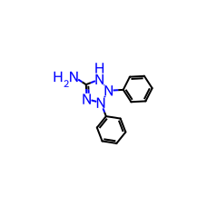 NC1=NN(c2ccccc2)N(c2ccccc2)N1